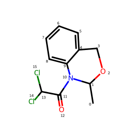 CC1OCc2ccccc2N1C(=O)C(Cl)Cl